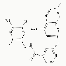 CSc1cc(Cc2cc(C(=O)NCc3cc(Cl)c(N)nc3C)ccn2)cc2cc(C)cnc12